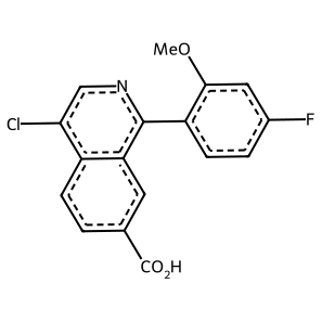 COc1cc(F)ccc1-c1ncc(Cl)c2ccc(C(=O)O)cc12